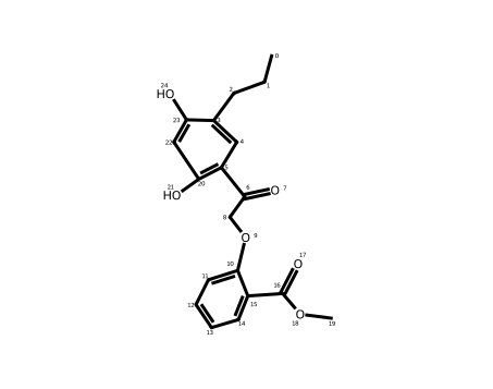 CCCc1cc(C(=O)COc2ccccc2C(=O)OC)c(O)cc1O